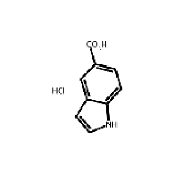 Cl.O=C(O)c1ccc2[nH]ccc2c1